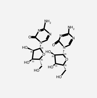 Nc1ncn([C@@H]2O[C@H](CO)[C@@H](O)[C@H]2O)c(=O)n1.Nc1ncn([C@@H]2O[C@H](CO)[C@@H](O)[C@H]2O)c(=O)n1